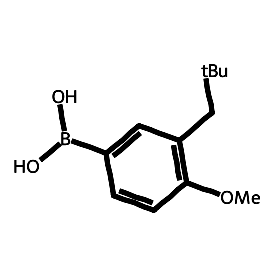 COc1ccc(B(O)O)cc1CC(C)(C)C